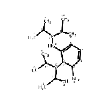 CC(C)P(NC1=CC=CC(N)N1P(C(C)C)C(C)C)C(C)C